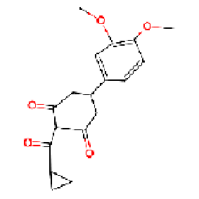 COc1ccc(C2CC(=O)C(C(=O)C3CC3)C(=O)C2)cc1OC